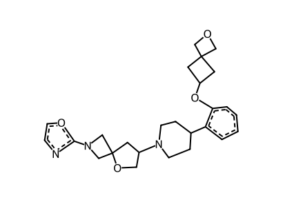 c1ccc(C2CCN(C3COC4(C3)CN(c3ncco3)C4)CC2)c(OC2CC3(COC3)C2)c1